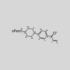 C=CC(=O)c1ccc(C2CCC(CCCCC)CC2)cc1